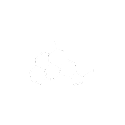 N#Cc1cnn2c(N)c(-c3c(C(F)F)ccc4ccccc34)cnc12